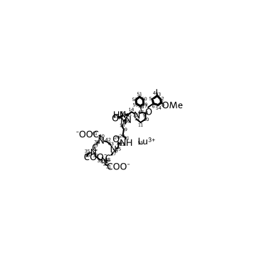 COc1cc(I)cc(CO[C@H]2CCCN(Cc3nn(CCCCNC(=O)CN4CCN(CC(=O)[O-])CCN(CC(=O)[O-])CCN(CC(=O)[O-])CC4)c(=O)[nH]3)[C@H]2c2ccccc2)c1.[Lu+3]